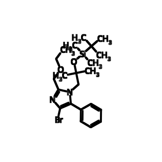 CCOCc1nc(Br)c(-c2ccccc2)n1CC(C)(C)O[Si](C)(C)C(C)(C)C